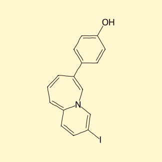 Oc1ccc(C2=CN3C=C(I)C=CC3=CC=C2)cc1